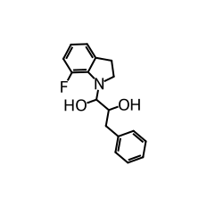 OC(Cc1ccccc1)C(O)N1CCc2cccc(F)c21